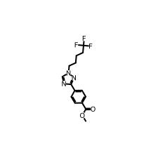 COC(=O)c1ccc(-c2ncn(CCCCC(F)(F)F)n2)cc1